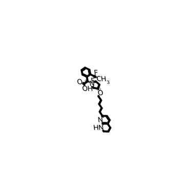 CC(F)(F)c1ccccc1[C@H](C(=O)O)N1CC[C@@H](OCCCCCc2ccc3c(n2)NCCC3)C1